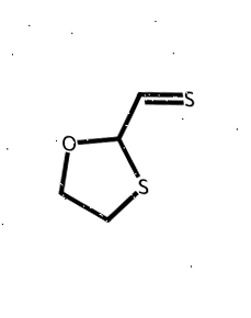 S=CC1OCCS1